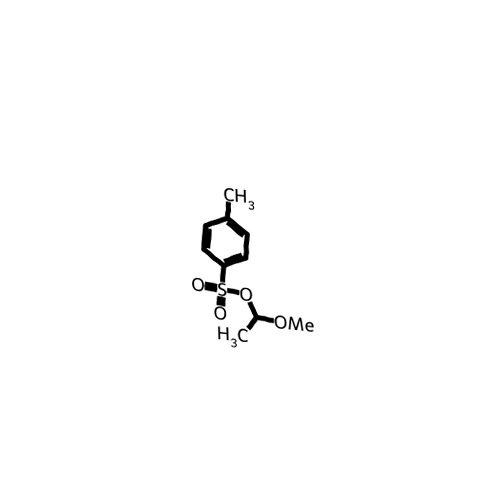 COC(C)OS(=O)(=O)c1ccc(C)cc1